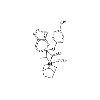 CC(COc1ccc(C#N)cc1)N(C(=O)O)N1C2CCC1CN(C(=O)c1ccc3nonc3c1)C2